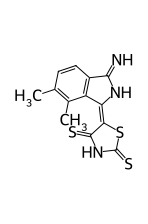 Cc1ccc2c(c1C)C(=C1SC(=S)NC1=S)NC2=N